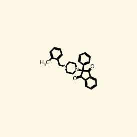 Cc1ccccc1CN1CCN(C2(c3ccccc3)C(=O)c3ccccc3C2=O)CC1